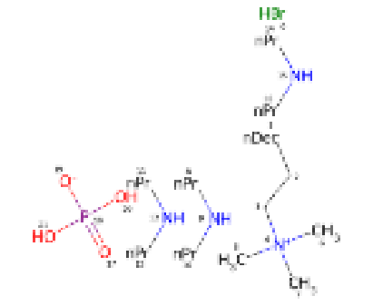 Br.CCCCCCCCCCCC[N+](C)(C)C.CCCNCCC.CCCNCCC.CCCNCCC.O=P([O-])(O)O